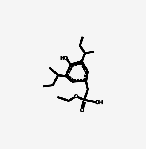 CCOP(=O)(O)Cc1cc(C(C)CC)c(O)c(C(C)CC)c1